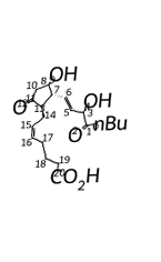 CCCCC(=O)[C@H](O)/C=C/[C@H]1[C@H](O)CC(=O)[C@@H]1C/C=C\CCCC(=O)O